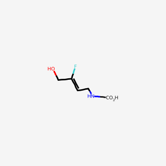 O=C(O)NCC=C(F)CO